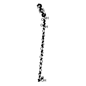 CC(C)(C)N(CCOCCOCCOCCOCCOCCOCCOCCOCCOCCOCCOCCNC(=O)CCCC(=O)Nc1ccc(-c2nnc(-c3ccccn3)nn2)nc1)C(=O)O